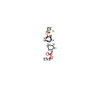 CC(C)(C)OC(=O)C[C@H]1CC[C@H](c2ccc(OSC(F)(F)F)cc2)CC1